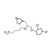 CCCCCOC(COc1ccc(Cl)cc1Cl)Cn1ccnc1